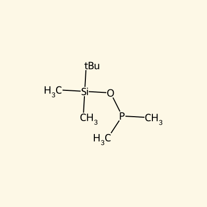 CP(C)O[Si](C)(C)C(C)(C)C